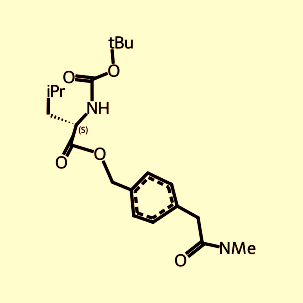 CNC(=O)Cc1ccc(COC(=O)[C@H](CC(C)C)NC(=O)OC(C)(C)C)cc1